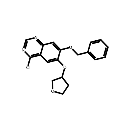 Clc1ncnc2cc(OCc3ccccc3)c(OC3CCOC3)cc12